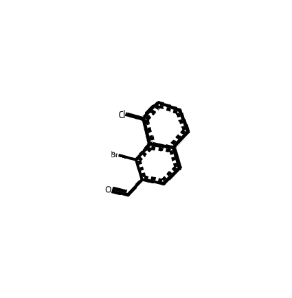 O=Cc1ccc2cccc(Cl)c2c1Br